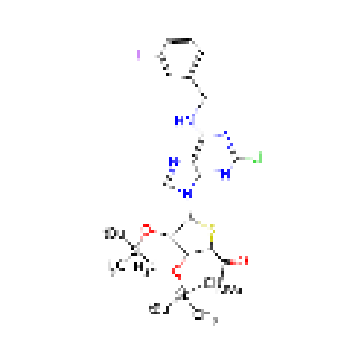 CNC(=O)C1SC(n2cnc3c(NCc4cccc(I)c4)nc(Cl)nc32)C(O[Si](C)(C)C(C)(C)C)C1O[Si](C)(C)C(C)(C)C